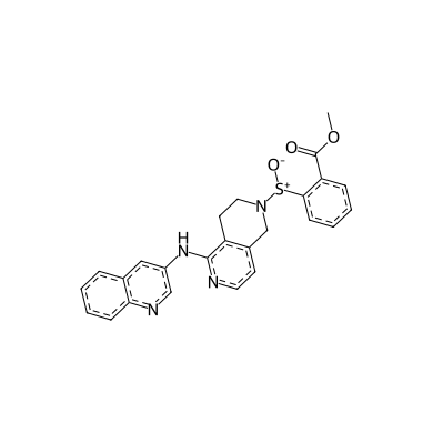 COC(=O)c1ccccc1[S+]([O-])N1CCc2c(ccnc2Nc2cnc3ccccc3c2)C1